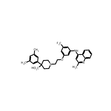 Cc1cc(C)cc(C2(C(=O)O)CCN(CCOc3cc(Nc4cc(C)nc5ccccc45)cc(C(F)(F)F)c3)CC2)c1